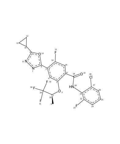 C[C@H](Oc1cc(-c2nnc(C3CC3)o2)c(F)cc1C(=O)Nc1c(F)cccc1Cl)C(F)(F)F